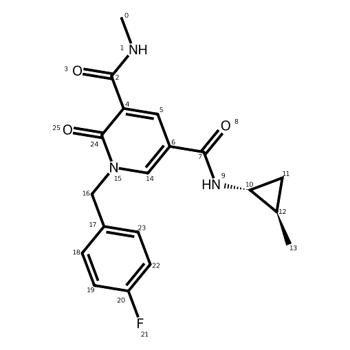 CNC(=O)c1cc(C(=O)N[C@@H]2C[C@H]2C)cn(Cc2ccc(F)cc2)c1=O